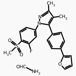 Cc1nn(-c2ccc(S(C)(=O)=O)c(F)c2)c(-c2ccc(-c3ccco3)cc2)c1C.NC=O